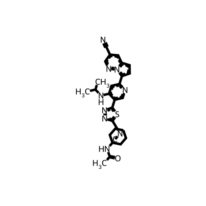 CC(=O)NC12CCC(CC1)N(c1nnc(-c3cnc(-c4ccc5cc(C#N)cnn45)cc3NC(C)C)s1)C2